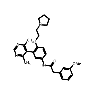 COc1cccc(CC(=O)Nc2ccc(OCCN3CCCC3)c(-c3c(C)ncnc3C)c2)c1